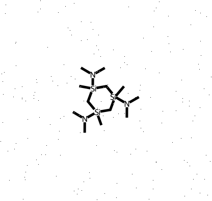 CN(C)[Si]1(C)C[Si](C)(N(C)C)C[Si](C)(N(C)C)C1